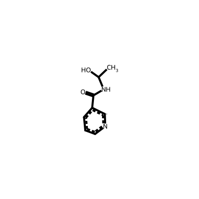 CC(O)NC(=O)c1[c]nccc1